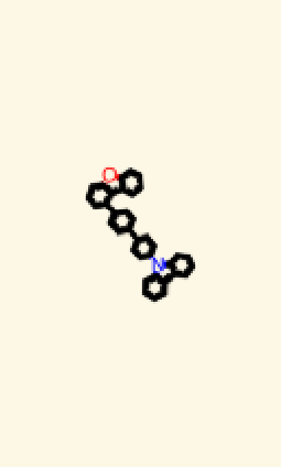 c1ccc2c(c1)oc1cccc(-c3ccc(-c4ccc(-n5c6ccccc6c6ccccc65)cc4)cc3)c12